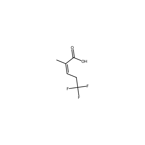 CC(=CCC(F)(F)F)C(=O)O